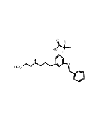 O=C(O)C(F)(F)F.O=C(O)CCNCCCc1cccc(OCc2ccccc2)c1